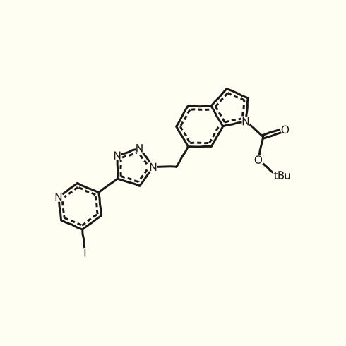 CC(C)(C)OC(=O)n1ccc2ccc(Cn3cc(-c4cncc(I)c4)nn3)cc21